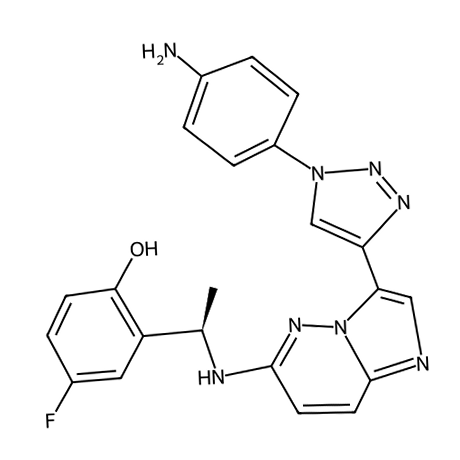 C[C@@H](Nc1ccc2ncc(-c3cn(-c4ccc(N)cc4)nn3)n2n1)c1cc(F)ccc1O